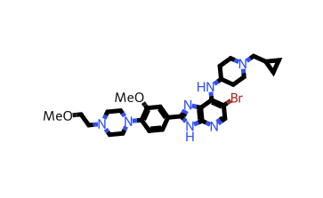 COCCN1CCN(c2ccc(-c3nc4c(NC5CCN(CC6CC6)CC5)c(Br)cnc4[nH]3)cc2OC)CC1